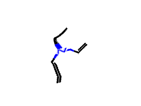 C=CN(C=C)CC